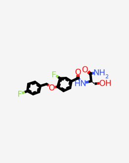 NC(=O)[C@H](CO)NC(=O)c1ccc(OCc2ccc(F)cc2)c(F)c1